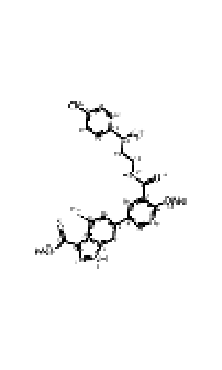 CNC(=O)c1n[nH]c2cc(-c3cnc(OC)c(C(=O)NCC[C@H](O)c4ccc(Cl)cc4)c3)cc(F)c12